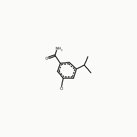 C[C](C)c1cc(Cl)cc(C(N)=O)c1